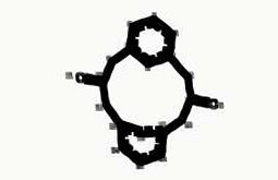 O=C1Cc2cccc(c2)CC(=O)Cc2cccc(c2)C1